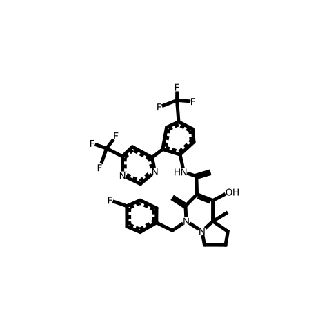 C=C(Nc1ccc(C(F)(F)F)cc1-c1cc(C(F)(F)F)ncn1)C1=C(O)C2(C)CCCN2N(Cc2ccc(F)cc2)C1=C